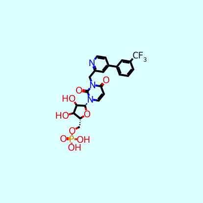 O=c1ccn([C@@H]2O[C@H](COP(=O)(O)O)C(O)C2O)c(=O)n1Cc1cc(-c2cccc(C(F)(F)F)c2)ccn1